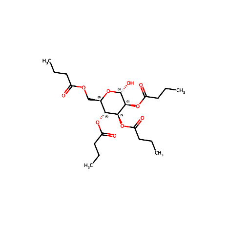 CCCC(=O)OC[C@H]1O[C@H](O)[C@@H](OC(=O)CCC)[C@@H](OC(=O)CCC)[C@@H]1OC(=O)CCC